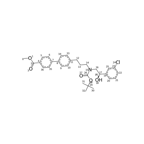 COC(=O)c1ccc(-c2ccc(CCCN(C[C@H](O)c3cccc(Cl)c3)C(=O)OC(C)(C)C)cc2)cc1